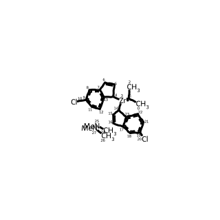 C[C](C)=[Zr+2]([CH]1C=Cc2cc(Cl)ccc21)[CH]1C=Cc2cc(Cl)ccc21.C[N-]C.C[N-]C